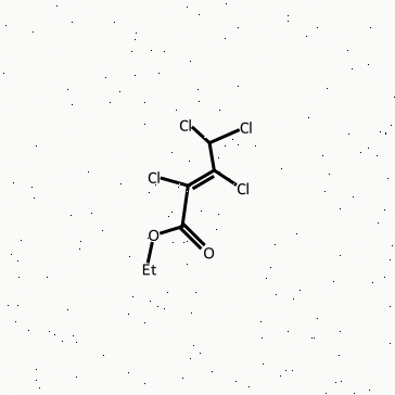 CCOC(=O)C(Cl)=C(Cl)C(Cl)Cl